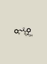 O=C(/C=C/c1ccccc1F)Nc1ccccc1C(=O)O